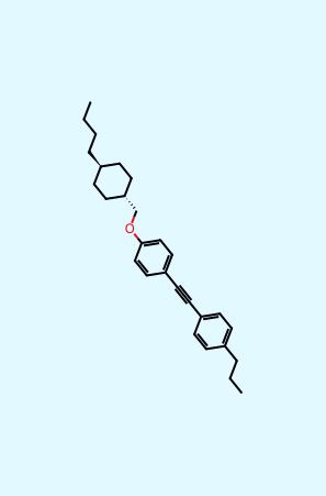 CCCC[C@H]1CC[C@H](COc2ccc(C#Cc3ccc(CCC)cc3)cc2)CC1